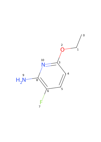 CCOc1ccc(F)c(N)n1